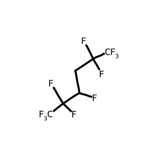 FC(CC(F)(F)C(F)(F)F)C(F)(F)C(F)(F)F